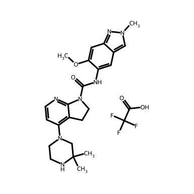 COc1cc2nn(C)cc2cc1NC(=O)N1CCc2c(N3CCNC(C)(C)C3)ccnc21.O=C(O)C(F)(F)F